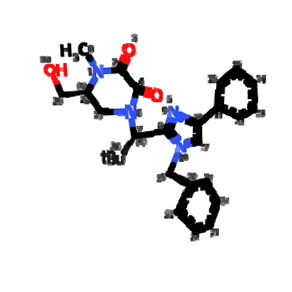 CN1C(=O)C(=O)N([C@@H](c2nc(-c3ccccc3)cn2Cc2ccccc2)C(C)(C)C)C[C@H]1CO